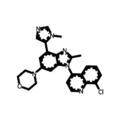 Cc1nc2c(-c3cncn3C)cc(N3CCOCC3)cc2n1-c1ccnc2c(Cl)cccc12